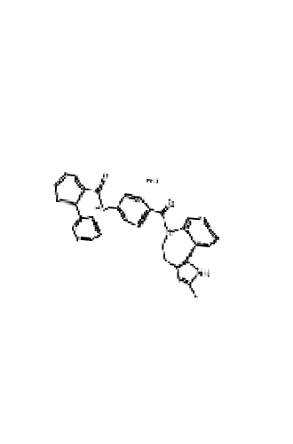 Cc1nc2c([nH]1)-c1ccccc1N(C(=O)c1ccc(NC(=O)c3ccccc3-c3ccccc3)cc1)CC2.Cl